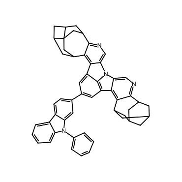 c1ccc(-n2c3ccccc3c3ccc(-c4cc5c6c7c(ncc6n6c8cnc9c(c8c(c4)c56)C4CC5CC6CC9CC65C4)C4CC5CC(C4)CC7C5)cc32)cc1